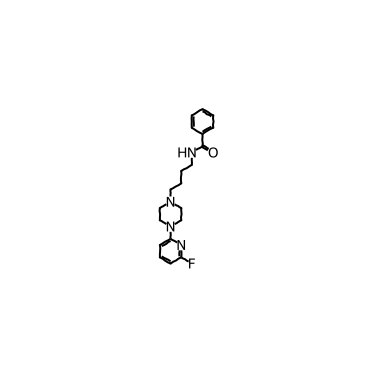 O=C(NCCCCN1CCN(c2cccc(F)n2)CC1)c1ccccc1